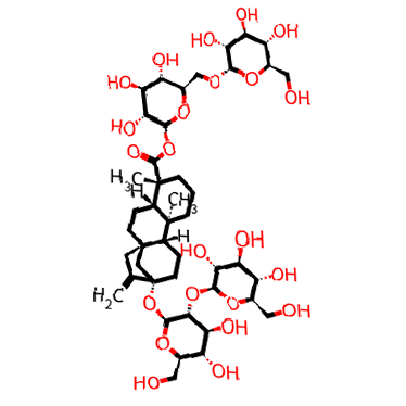 C=C1C[C@@]23CC[C@H]4[C@@](C)(CCC[C@@]4(C)C(=O)O[C@@H]4O[C@H](CO[C@H]5O[C@H](CO)[C@@H](O)[C@H](O)[C@H]5O)[C@@H](O)[C@H](O)[C@H]4O)[C@@H]2CC[C@]1(O[C@@H]1O[C@H](CO)[C@@H](O)[C@H](O)[C@H]1O[C@@H]1O[C@H](CO)[C@@H](O)[C@H](O)[C@H]1O)C3